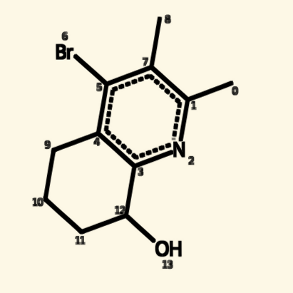 Cc1nc2c(c(Br)c1C)CCCC2O